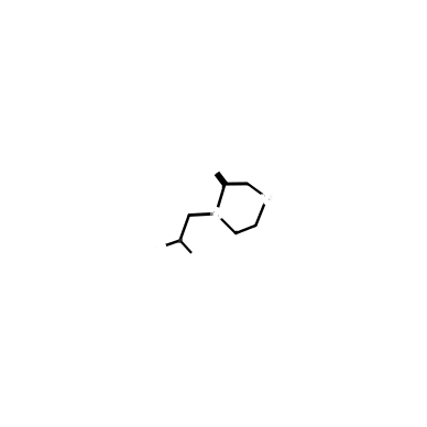 O=C1CNCCN1CC(O)O